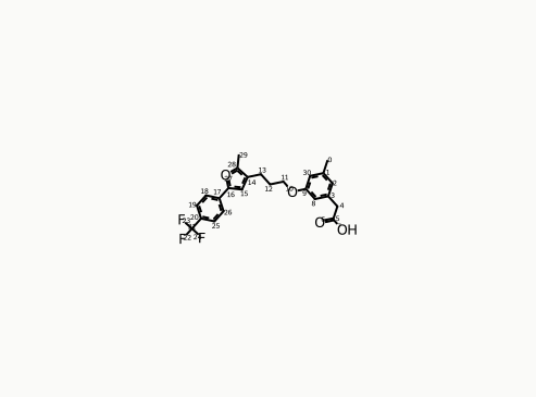 Cc1cc(CC(=O)O)cc(OCCCc2cc(-c3ccc(C(F)(F)F)cc3)oc2C)c1